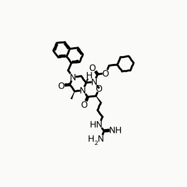 C[C@H]1C(=O)N(Cc2cccc3ccccc23)C[C@@H]2N(C(=O)OCC3CCCCC3)O[C@@H](CCCNC(=N)N)C(=O)N21